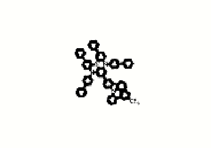 FC(F)(F)c1cccc(-c2ccccc2-n2c3ccccc3c3cc(-c4cc5c6c(c4)N(c4ccc(-c7ccccc7)cc4)c4ccc(-c7ccccc7)cc4B6c4cc(-c6ccccc6)ccc4N5c4ccc(-c5ccccc5)cc4)ccc32)c1